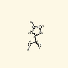 [CH2]c1nc(C(=O)OC)co1